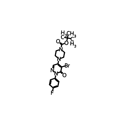 CC(C)(C)OC(=O)N1CCN(c2cnn(-c3ccc(F)cc3)c(=O)c2Br)CC1